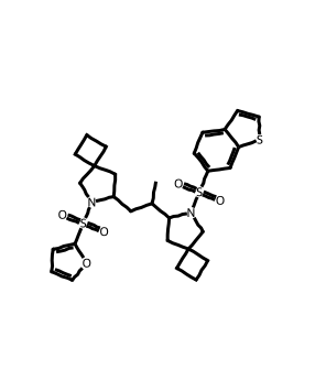 CC(CC1CC2(CCC2)CN1S(=O)(=O)c1ccco1)C1CC2(CCC2)CN1S(=O)(=O)c1ccc2ccsc2c1